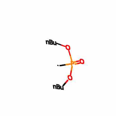 [CH2]P(=O)(OCCCC)OCCCC